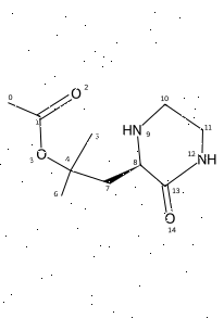 CC(=O)OC(C)(C)C[C@H]1NCCNC1=O